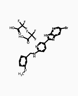 COc1cccc(CNc2ccc(-c3nc4cc(Br)cnc4[nH]3)cn2)c1.O=C(O)C(F)(F)F.O=C(O)C(F)(F)F